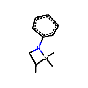 CC1CN(c2ccccc2)[Si]1(C)C